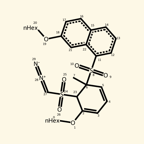 CCCCCCOC1=CC=CC(C)(S(=O)(=O)c2cccc3ccc(OCCCCCC)cc23)C1S(=O)(=O)C=[N+]=[N-]